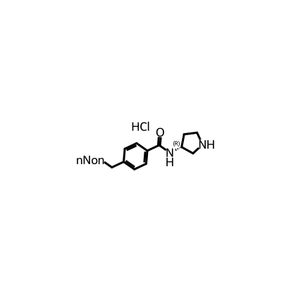 CCCCCCCCCCc1ccc(C(=O)N[C@@H]2CCNC2)cc1.Cl